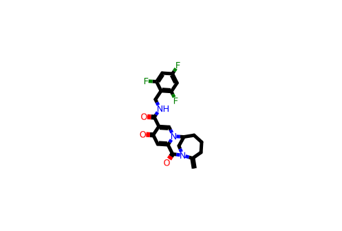 C=C1CCCC2CN1C(=O)c1cc(=O)c(C(=O)NCc3c(F)cc(F)cc3F)cn12